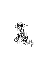 CC(C)(C)OC(=O)NC(CC(=O)N1CCCCC1)C(=O)Nc1ccc2c(c1)nc(C(=O)O)n2C(=O)O